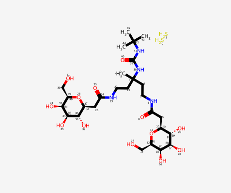 S.S.[CH2]C(CCNC(=O)C[C@@H]1O[C@H](CO)[C@H](O)[C@H](O)[C@H]1O)(CCNC(=O)C[C@@H]1O[C@H](CO)[C@H](O)[C@H](O)[C@H]1O)NC(=O)NC(C)(C)C